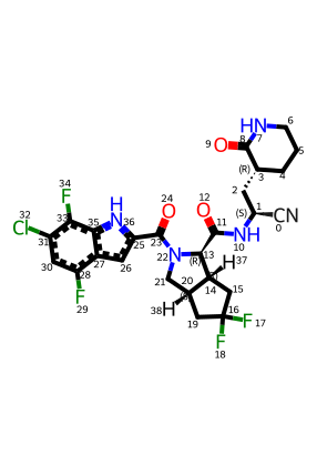 N#C[C@H](C[C@H]1CCCNC1=O)NC(=O)[C@H]1[C@@H]2CC(F)(F)C[C@@H]2CN1C(=O)c1cc2c(F)cc(Cl)c(F)c2[nH]1